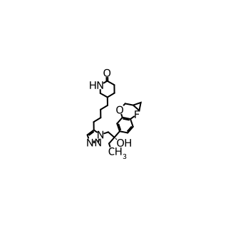 CC[C@@](O)(Cn1nncc1CCCCC1CCC(=O)NC1)c1ccc(F)c(OCC2CC2)c1